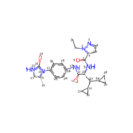 CCn1nccc1C(=O)N[C@H](C(=O)Nc1ccc(-n2c(C)c[nH]c2=O)cc1)C(C1CC1)C1CC1